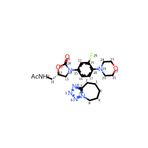 C1CCc2nnnn2CC1.CC(=O)NC[C@H]1CN(c2ccc(N3CCOCC3)c(F)c2)C(=O)O1